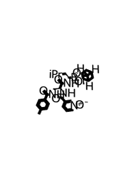 Cc1ccc(C(=O)NC[C@H](NC(=O)c2ccc[n+]([O-])c2)C(=O)N[C@@H](CC(C)C)B2O[C@@H]3C[C@@H]4C[C@@H](C4(C)C)[C@]3(C)O2)cc1